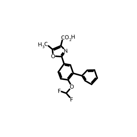 Cc1oc(-c2ccc(OC(F)F)c(-c3ccccc3)c2)nc1C(=O)O